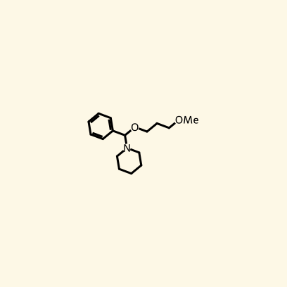 COCCCOC(c1ccccc1)N1CCCCC1